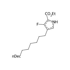 CCCCCCCCCCCCCCCCc1c[nH]c(C(=O)OCC)c1F